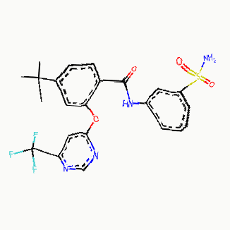 CC(C)(C)c1ccc(C(=O)Nc2cccc(S(N)(=O)=O)c2)c(Oc2cc(C(F)(F)F)ncn2)c1